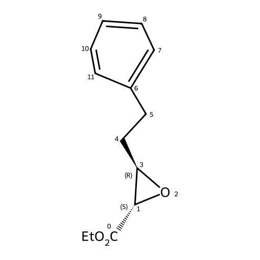 CCOC(=O)[C@H]1O[C@@H]1CCc1ccccc1